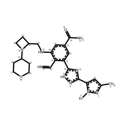 CCn1nc(C)cc1-c1n[nH]c(-c2cc(C(N)=O)cc(NCC3CCN3C3CCOCC3)c2C=N)n1